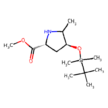 COC(=O)[C@H]1C[C@H](O[Si](C)(C)C(C)(C)C)C(C)N1